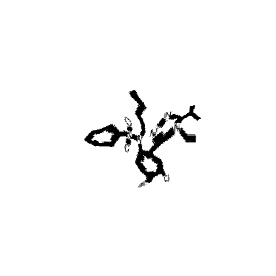 CCCCN(c1cc(F)c(Cl)cc1-c1nnc(C(C)C)n1CC)S(=O)(=O)c1ccccc1